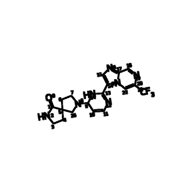 O=C1NCCC12CCN(C1C=CN=C(c3cnc4cnc(C(F)(F)F)cn34)N1)C2